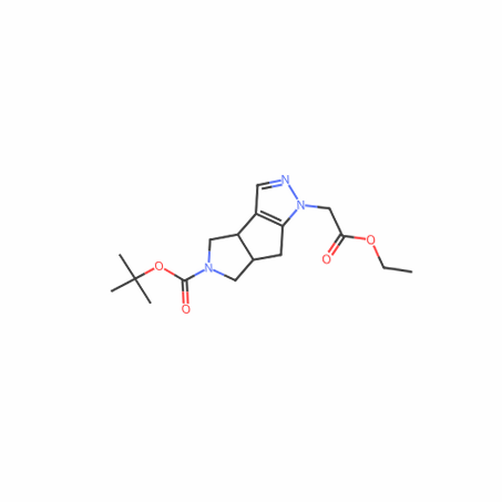 CCOC(=O)Cn1ncc2c1CC1CN(C(=O)OC(C)(C)C)CC21